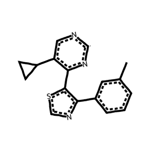 Cc1cccc(-c2ncsc2-c2n[c]ncc2C2CC2)c1